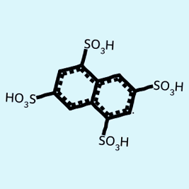 O=S(=O)(O)c1[c]c(S(=O)(=O)O)c2cc(S(=O)(=O)O)cc(S(=O)(=O)O)c2c1